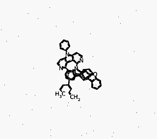 C=C/C=C(\C=C/C)c1cc(-c2ccccc2)nc(-c2nccc3c2c2c(-n4c5ccccc5c5cc6c(cc54)oc4ccccc46)nccc2n3-c2ccccc2)n1